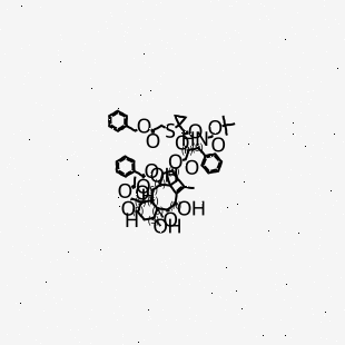 CC(=O)O[C@@]12CO[C@@H]1C[C@H](O)[C@@]1(C)C(=O)[C@H](O)C3=C(C)C4[C@@H](OC(=O)[C@H](OC(=O)C5(SCC(=O)OCc6ccccc6)CC5)[C@@H](NC(=O)OC(C)(C)C)c5ccccc5)C[C@@](O)([C@@H](OC(=O)c5ccccc5)[C@H]21)C34C